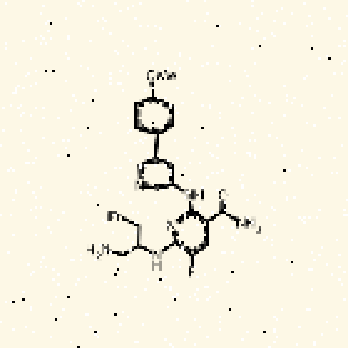 COc1ccc(-c2cncc(Nc3nc(NC(CN)CC(C)C)c(F)cc3C(N)=O)c2)cc1